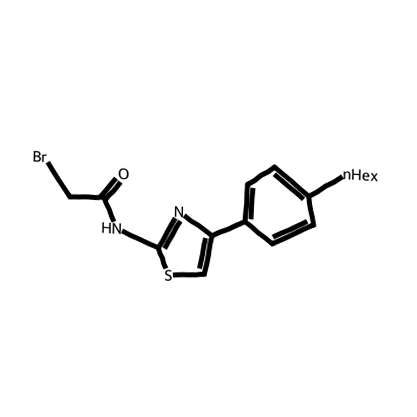 CCCCCCc1ccc(-c2csc(NC(=O)CBr)n2)cc1